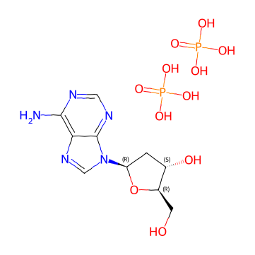 Nc1ncnc2c1ncn2[C@H]1C[C@H](O)[C@@H](CO)O1.O=P(O)(O)O.O=P(O)(O)O